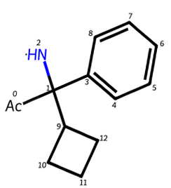 CC(=O)C([NH])(c1ccccc1)C1CCC1